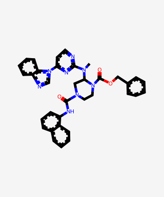 CN(c1nccc(-n2cnc3ccccc32)n1)C1CN(C(=O)Nc2cccc3ccccc23)CCN1C(=O)OCc1ccccc1